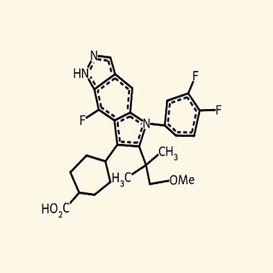 COCC(C)(C)c1c(C2CCC(C(=O)O)CC2)c2c(F)c3[nH]ncc3cc2n1-c1ccc(F)c(F)c1